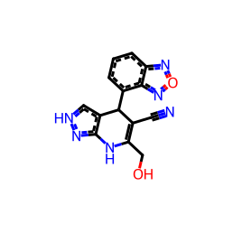 N#CC1=C(CO)Nc2n[nH]cc2C1c1cccc2nonc12